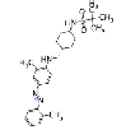 Cc1ccccc1/N=N/c1ccc(NC[C@H]2CC[C@H](NS(=O)(=O)C(C)(C)C)CC2)c(C)c1